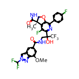 COc1cc(C(=O)NCC(O)(c2nc(-c3ccc(F)cc3)c3c(c2F)[C@@](C)(C(N)=O)CO3)C(F)(F)F)cc2cn(C(F)F)nc12